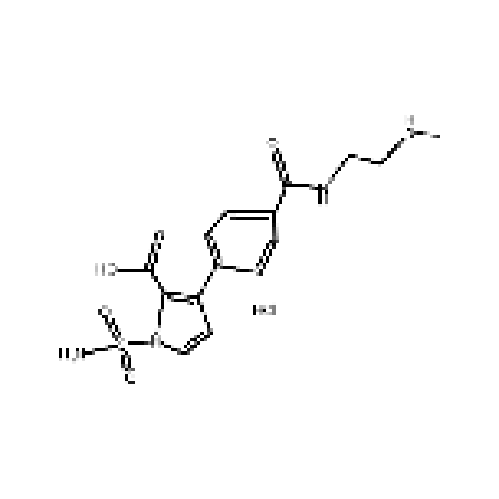 CNCCNC(=O)c1ccc(-c2ccn(S(N)(=O)=O)c2C(=O)O)cc1.Cl